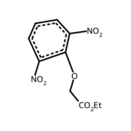 CCOC(=O)COc1c([N+](=O)[O-])cccc1[N+](=O)[O-]